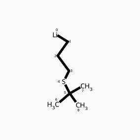 [Li][CH2]CCSC(C)(C)C